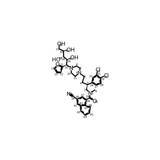 CN(C[C@@H](CCN1CCN([C@@H](c2ccco2)[C@H](O)[C@H](O)[C@H](O)CO)CC1)c1ccc(Cl)c(Cl)c1)C(=O)c1cc(C#N)cc2ccccc12